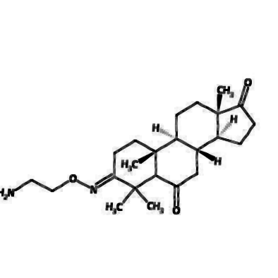 CC1(C)C(=NOCCN)CC[C@@]2(C)C1C(=O)C[C@@H]1[C@@H]2CC[C@]2(C)C(=O)CC[C@@H]12